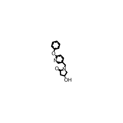 O=C1C[C@H](O)CN1Cc1ccc(Oc2ccccc2)nc1